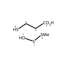 CSSO.O=C(O)CCS